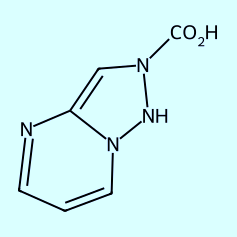 O=C(O)N1C=C2N=CC=CN2N1